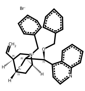 C=C[C@H]1C[N+]2(Cc3ccccc3)CC[C@H]1C[C@@H]2[C@@H](OCc1ccccc1)c1ccnc2ccccc12.[Br-]